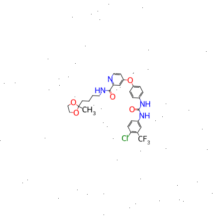 CC1(CCCCNC(=O)c2cc(Oc3ccc(NC(=O)Nc4ccc(Cl)c(C(F)(F)F)c4)cc3)ccn2)OCCO1